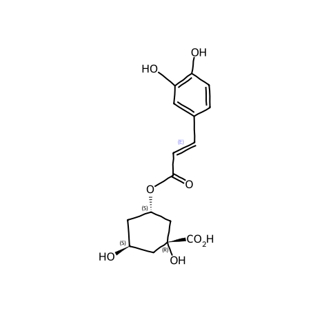 O=C(/C=C/c1ccc(O)c(O)c1)O[C@H]1C[C@H](O)C[C@](O)(C(=O)O)C1